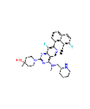 C#Cc1c(F)ccc2cccc(-c3ncc4c(N(C)C[C@@H]5CCCCN5)nc(N5CCC(C)(O)CC5)nc4c3F)c12